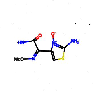 CON=C(C([NH])=O)c1csc(N)[n+]1[O-]